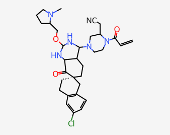 C=CC(=O)N1CCN(C2NC(OCC3CCCN3C)NC3C(=O)[C@@]4(CCc5cc(Cl)ccc5C4)CCC32)CC1CC#N